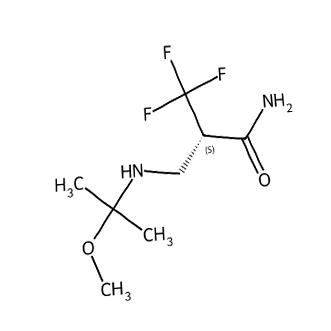 COC(C)(C)NC[C@@H](C(N)=O)C(F)(F)F